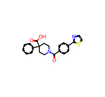 O=C(c1ccc(-c2nccs2)cc1)N1CCC(C(=O)O)(c2ccccc2)CC1